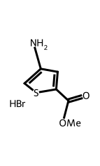 Br.COC(=O)c1cc(N)cs1